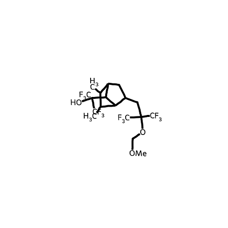 COCOC(CC1CC2C(C)C(C)C1C2C(O)(C(F)(F)F)C(F)(F)F)(C(F)(F)F)C(F)(F)F